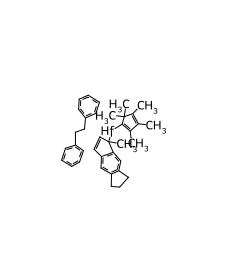 CC1=C(C)C(C)(C)[C]([Hf][C]2(C)C=Cc3cc4c(cc32)CCC4)=C1C.c1ccc(CCc2ccccc2)cc1